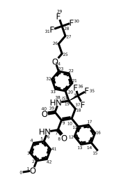 COc1ccc(NC(=O)C2=C(c3ccc(C)cc3)C[C@](c3ccc(OCCCC(F)(F)F)cc3)(C(F)(F)F)NC2=O)cc1